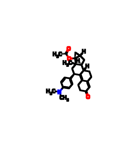 CC(=O)O[C@@]12C[C@@H]1C[C@H]1[C@@H]3CCC4=CC(=O)CCC4=C3[C@@H](c3ccc(N(C)C)cc3)C[C@@]12C